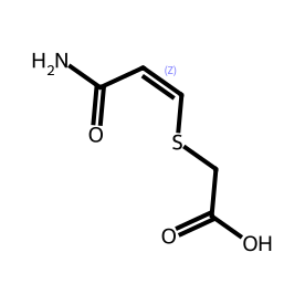 NC(=O)/C=C\SCC(=O)O